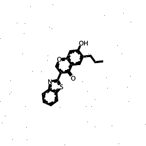 CCCc1cc2c(=O)c(-c3nc4ccccc4s3)coc2cc1O